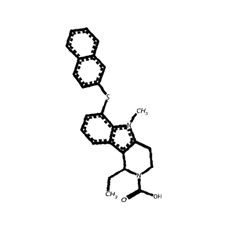 CCC1c2c(n(C)c3c(Sc4ccc5ccccc5c4)cccc23)CCN1C(=O)O